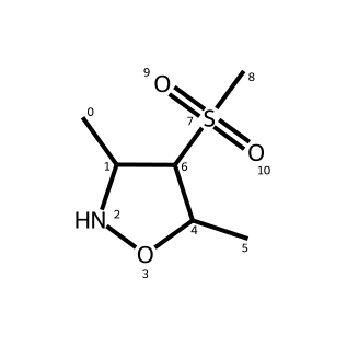 CC1NOC(C)C1S(C)(=O)=O